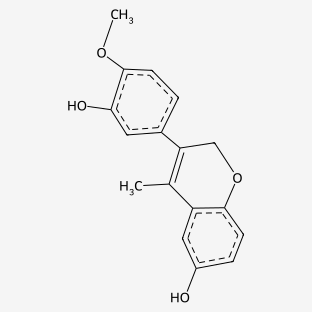 COc1ccc(C2=C(C)c3cc(O)ccc3OC2)cc1O